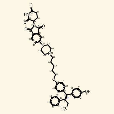 CC/C(=C(\c1ccc(O)cc1)c1ccc(OCCCCCN2CCN(c3cc4c(cn3)C(=O)N(C3CCC(=O)NC3=O)C4=O)CC2)cc1)c1ccccc1